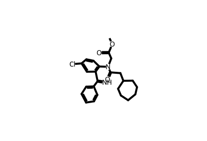 COC(=O)CN(C(=O)CC1CCCCCC1)c1ccc(Cl)cc1C(=N)c1ccccc1